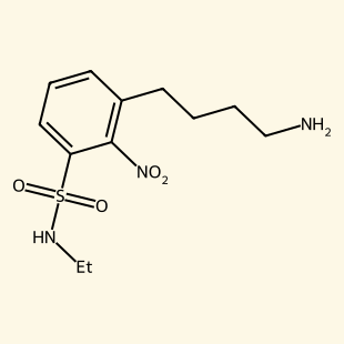 CCNS(=O)(=O)c1cccc(CCCCN)c1[N+](=O)[O-]